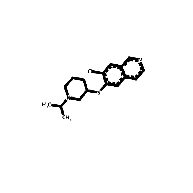 CC(C)N1CCCC(Sc2cc3ccncc3cc2Cl)C1